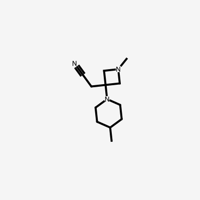 CC1CCN(C2(CC#N)CN(C)C2)CC1